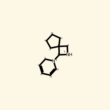 C1=CCN(C2NCC23CCCC3)C=C1